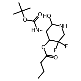 CCCC(=O)OC1[C@H](NC(=O)OC(C)(C)C)C(O)NCC1(F)F